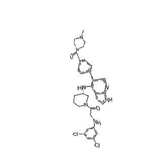 CN1CCN(C(=O)c2ccc(-c3cnc4[nH]ccc4c3N[C@H]3CCCN(C(=O)CNc4cc(Cl)cc(Cl)c4)C3)cc2)CC1